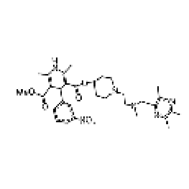 COC(=O)C1=C(C)NC(C)=C(C(=O)OC2CCN(CCN(C)Cc3nc(C)c(C)nc3C)CC2)C1c1cccc([N+](=O)[O-])c1